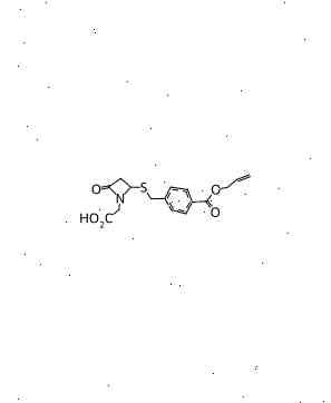 C=CCOC(=O)c1ccc(CSC2CC(=O)N2CC(=O)O)cc1